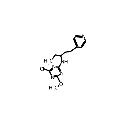 CCC(CCc1ccncc1)Nc1nc(Cl)nc(OC)n1